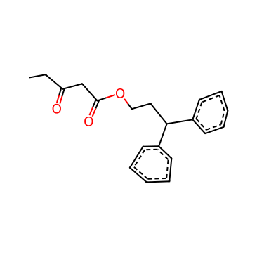 CCC(=O)CC(=O)OCCC(c1ccccc1)c1ccccc1